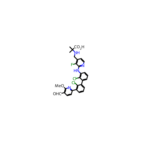 COc1nc(-c2cccc(-c3cccc(Nc4nccc(CNC(C)(C)C(=O)O)c4F)c3Cl)c2Cl)ccc1C=O